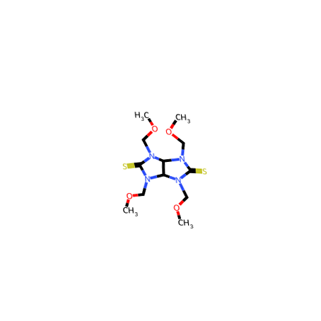 COCN1C(=S)N(COC)C2C1N(COC)C(=S)N2COC